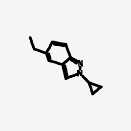 CCc1ccc2nn(C3CC3)cc2c1